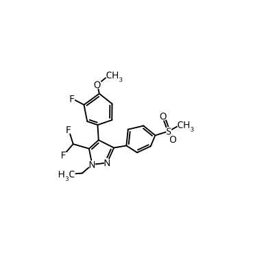 CCn1nc(-c2ccc(S(C)(=O)=O)cc2)c(-c2ccc(OC)c(F)c2)c1C(F)F